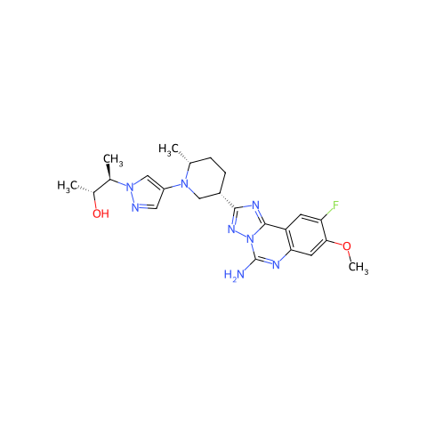 COc1cc2nc(N)n3nc([C@H]4CC[C@@H](C)N(c5cnn([C@H](C)[C@@H](C)O)c5)C4)nc3c2cc1F